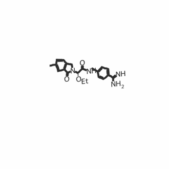 CCO[C@@H](C(=O)NCc1ccc(C(=N)N)cc1)N1Cc2ccc(C)cc2C1=O